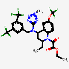 CCOC(=O)C(=O)N1c2ccc(OC(F)(F)F)cc2C(N(Cc2cc(C(F)(F)F)cc(C(F)(F)F)c2)c2nnn(C)n2)CC1CC